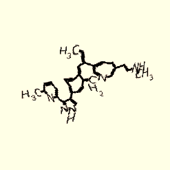 C=C1\C=C/C(c2c[nH]nc2-c2cccc(C)n2)=C/C=C/C1=C/C(=C\C)C1=CCC(CCNC)=CN=C1